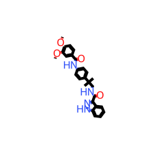 COc1ccc(C(=O)Nc2ccc(C(C)(C)CNC(=O)c3n[nH]c4ccccc34)cc2)cc1OC